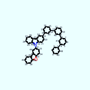 c1ccc(-c2cccc(-c3cccc(-c4cccc(-c5ccc6c(c5)c5ccccc5n6-c5ccc6oc7ccccc7c6c5)c4)c3)c2)cc1